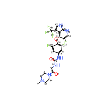 CN1CCN(C(=O)CNC(=O)Nc2cc(F)c(Oc3ccnc4[nH]cc(C(F)(F)F)c34)c(F)c2)CC1